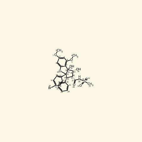 COc1cc(OC)c2c(c1)O[C@@]1(c3ccc(Br)cc3)[C@H](c3ccccc3)[C@@H](C(=O)NS(C)(=O)=O)[C@@H](O)[C@@]21O